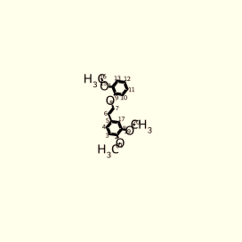 COc1ccc(/C=C/Oc2ccccc2OC)cc1OC